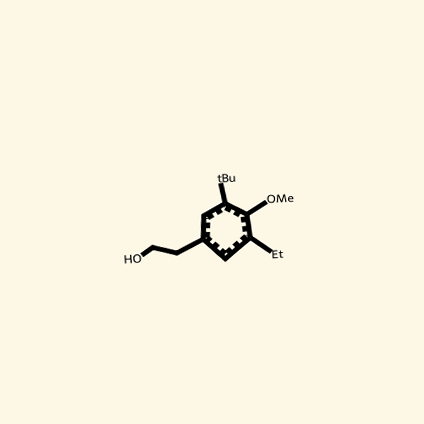 CCc1cc(CCO)cc(C(C)(C)C)c1OC